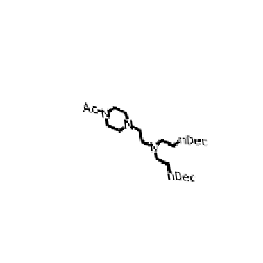 CCCCCCCCCCCCN(CCCCCCCCCCCC)CCN1CCN(C(C)=O)CC1